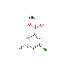 CCCCOC(=O)c1cc(Br)cc(I)c1